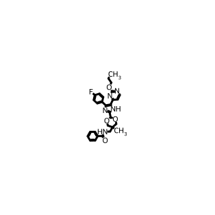 CCCOc1nccc(-c2[nH]c(C3OCC(C)(CNC(=O)c4ccccc4)CO3)nc2-c2ccc(F)cc2)n1